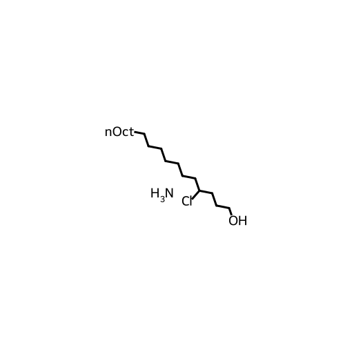 CCCCCCCCCCCCCCCC(Cl)CCCO.N